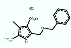 CCOC(=O)c1[nH]c(CNCc2ccccc2)c(C(=O)OCC)c1C.Cl